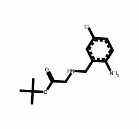 CC(C)(C)OC(=O)CNCc1cc(Cl)ccc1N